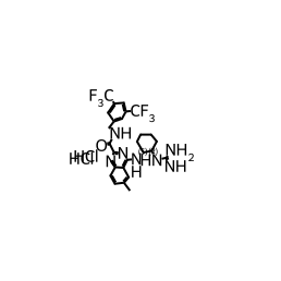 Cc1ccc2nc(C(=O)NCc3cc(C(F)(F)F)cc(C(F)(F)F)c3)nc(N[C@H]3CCCC[C@H]3NC(=N)N)c2c1.Cl.Cl